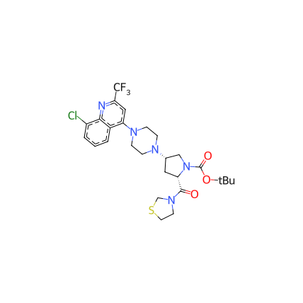 CC(C)(C)OC(=O)N1C[C@@H](N2CCN(c3cc(C(F)(F)F)nc4c(Cl)cccc34)CC2)C[C@H]1C(=O)N1CCSC1